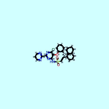 COc1ccccc1Oc1c(Cl)nc(-c2ncccn2)nc1NS(=O)(=O)C=Cc1cccc2ccccc12